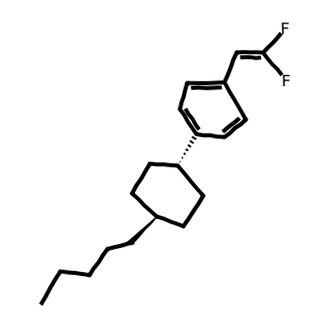 CCCCC[C@H]1CC[C@H](c2ccc(C=C(F)F)cc2)CC1